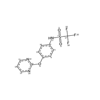 O=S(=O)(Nc1ccc(Oc2ncccn2)cc1)C(F)(F)F